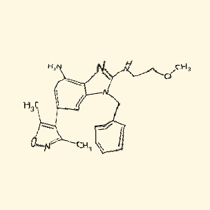 COCCNc1nc2c(N)cc(-c3c(C)noc3C)cc2n1Cc1ccccc1